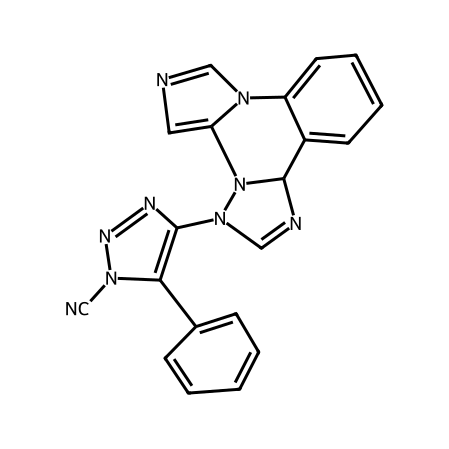 N#Cn1nnc(N2C=NC3c4ccccc4-n4cncc4N32)c1-c1ccccc1